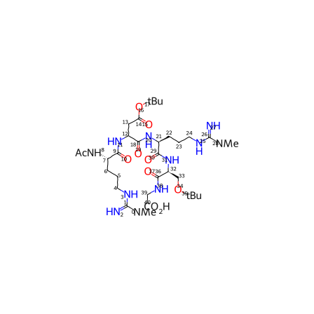 CNC(=N)NCCC[C@H](NC(C)=O)C(=O)NC(CC(=O)OC(C)(C)C)C(=O)N[C@@H](CCCNC(=N)NC)C(=O)N[C@@H](COC(C)(C)C)C(=O)NCC(=O)O